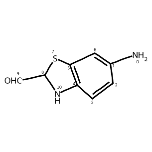 Nc1ccc2c(c1)SC(C=O)N2